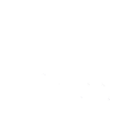 CN(c1ncnc2[nH]ccc12)C1CCC2(CC1)CCN(C(=O)CCC(F)(F)F)CC2